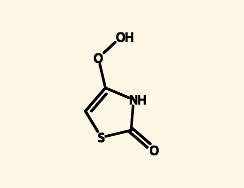 O=c1[nH]c(OO)cs1